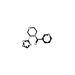 O=C(c1cc[c]nc1)N1CCOC[C@H]1c1ncno1